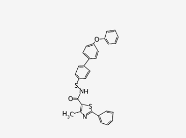 Cc1nc(-c2ccccc2)sc1C(=O)NSc1ccc(-c2ccc(Oc3ccccc3)cc2)cc1